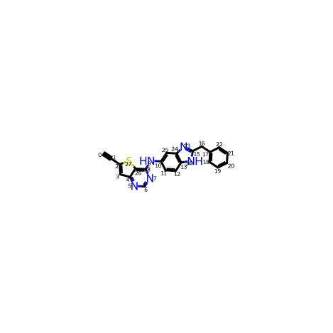 C#Cc1cc2ncnc(Nc3ccc4[nH]c(Cc5ccccc5)nc4c3)c2s1